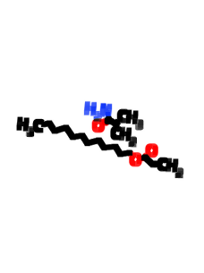 C=C(C)C(N)=O.C=CC(=O)OCCCCCCCCCCCC